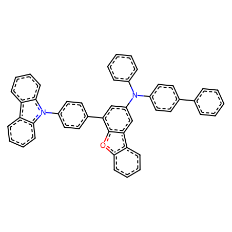 c1ccc(-c2ccc(N(c3ccccc3)c3cc(-c4ccc(-n5c6ccccc6c6ccccc65)cc4)c4oc5ccccc5c4c3)cc2)cc1